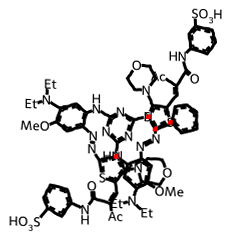 CCN(CC)c1cc(Nc2nc(Nc3cc(N(CC)CC)c(OC)cc3/N=N/c3nc(N4CCOCC4)c(/C=C(\C(C)=O)C(=O)Nc4cccc(S(=O)(=O)O)c4)s3)nc(SCc3ccccc3)n2)c(/N=N/c2nc(N3CCOCC3)c(/C=C(/C(C)=O)C(=O)Nc3cccc(S(=O)(=O)O)c3)s2)cc1OC